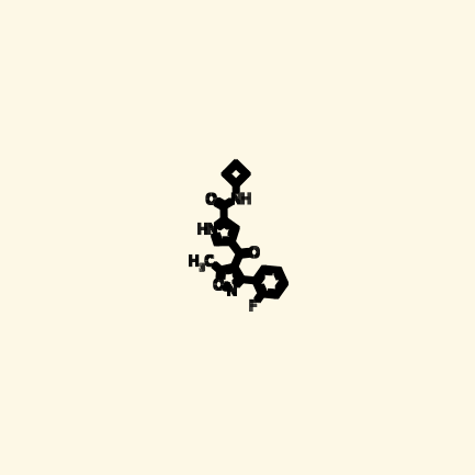 Cc1onc(-c2ccccc2F)c1C(=O)c1c[nH]c(C(=O)NC2CCC2)c1